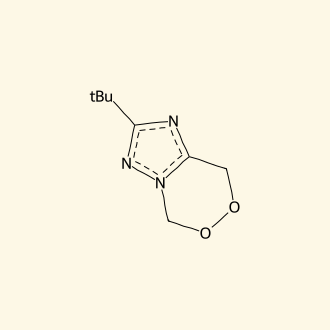 CC(C)(C)c1nc2n(n1)COOC2